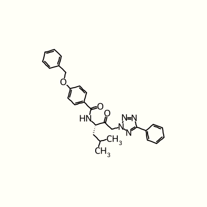 CC(C)C[C@H](NC(=O)c1ccc(OCc2ccccc2)cc1)C(=O)Cn1nnc(-c2ccccc2)n1